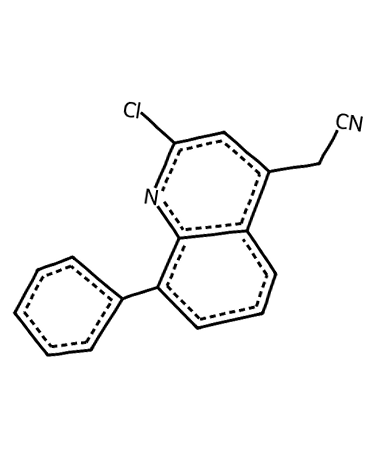 N#CCc1cc(Cl)nc2c(-c3ccccc3)cccc12